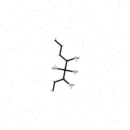 CCCC(O)C(O)(S)C(O)CC